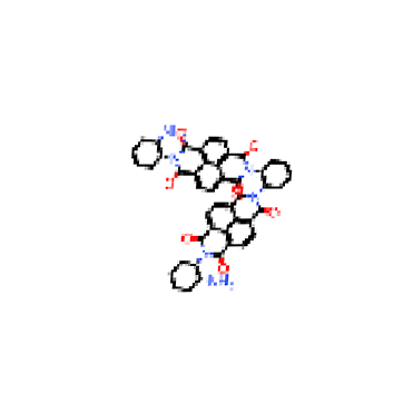 N[C@@H]1CCCCC1N1C(=O)c2ccc3c4c(ccc(c24)C1=O)C(=O)N([C@@H]1CCCC[C@H]1N1C(=O)c2ccc4c5c(ccc(c25)C1=O)C(=O)N([C@@H]1CCCC[C@H]1N)C4=O)C3=O